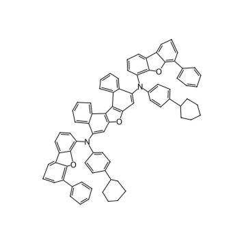 c1ccc(-c2cccc3c2oc2c(N(c4ccc(C5CCCCC5)cc4)c4cc5oc6cc(N(c7ccc(C8CCCCC8)cc7)c7cccc8c7oc7c(-c9ccccc9)cccc78)c7ccccc7c6c5c5ccccc45)cccc23)cc1